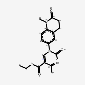 CCOC(=O)/C(=C/N(C(C)=O)c1ccc2c(c1)CCC(=O)N2C)C(C)=O